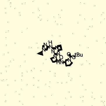 CC(C)(C)OC(=O)N1CCCC(NC(=O)[C@@H]2CCCN2c2nc(Nc3cn(C4CC4)cn3)n3cccc3n2)C1